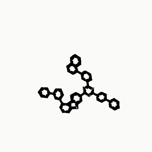 c1ccc(-c2ccc(-c3nc(-c4cccc(-c5cccc6ccccc56)c4)nc(-c4ccc5c(c4)oc4cccc(-c6cccc(-c7ccccc7)c6)c45)n3)cc2)cc1